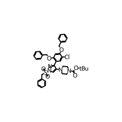 CC(C)(C)OC(=O)N1CCN(c2cn(S(=O)(=O)Cc3ccccc3)nc2-c2cc(Cl)c(OCc3ccccc3)cc2OCc2ccccc2)CC1